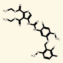 CCOC(=O)c1scc(NC(=O)Nc2cc(OCc3c(OC)ccc(F)c3F)c(OC)cc2F)c1C(=O)OCC